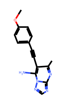 COc1ccc(C#Cc2c(C)nc3ncnn3c2N)cc1